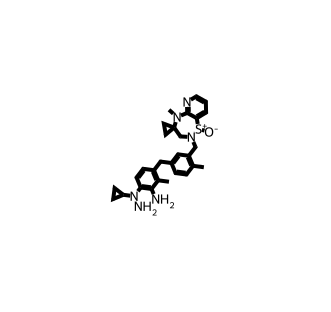 Cc1ccc(Cc2ccc(N(N)C3CC3)c(N)c2C)cc1CN1CC2(CC2)N(C)c2ncccc2[S+]1[O-]